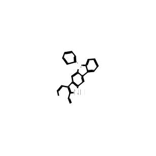 C=Cc1[nH]c2cc3c4ccccc4n(-c4ccccc4)c3cc2c1/C=C\C